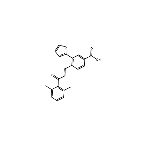 Cc1cccc(C)c1C(=O)C=Cc1ccc(C(=O)O)cc1-c1cccs1